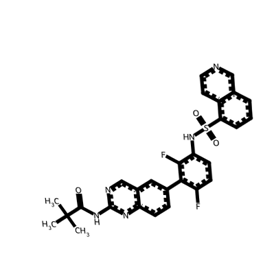 CC(C)(C)C(=O)Nc1ncc2cc(-c3c(F)ccc(NS(=O)(=O)c4cccc5cnccc45)c3F)ccc2n1